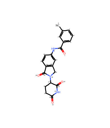 N#Cc1cccc(C(=O)Nc2ccc3c(c2)CN(C2CCC(=O)NC2=O)C3=O)c1